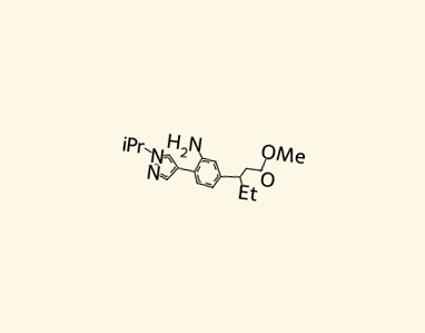 CCC(CC(=O)OC)c1ccc(-c2cnn(C(C)C)c2)c(N)c1